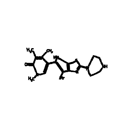 Cc1c(-c2[nH]c3sc(N4CCNCC4)nc3c2C(C)C)cn(C)c(=O)c1C